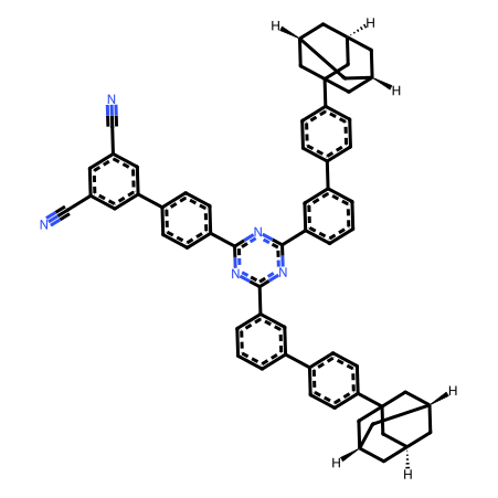 N#Cc1cc(C#N)cc(-c2ccc(-c3nc(-c4cccc(-c5ccc(C67C[C@H]8C[C@@H](C6)C[C@@H](C7)C8)cc5)c4)nc(-c4cccc(-c5ccc(C67C[C@H]8C[C@@H](C6)C[C@@H](C7)C8)cc5)c4)n3)cc2)c1